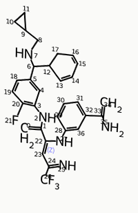 C=C(Nc1cc(C(NCC2CC2)C2C=CC=CC2)ccc1F)/C(=C/C(=N)C(F)(F)F)Nc1cccc(C(=C)N)c1